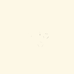 CC1=Cc2c(-c3ccccc3)cccc2[CH]1[Zr].C[Si](C)(C)C